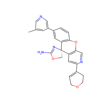 Cc1cncc(-c2ccc3c(c2)[C@@]2(COC(N)=N2)c2cc(C4=CCOCC4)ncc2O3)c1